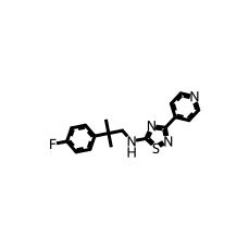 CC(C)(CNc1nc(-c2ccncc2)ns1)c1ccc(F)cc1